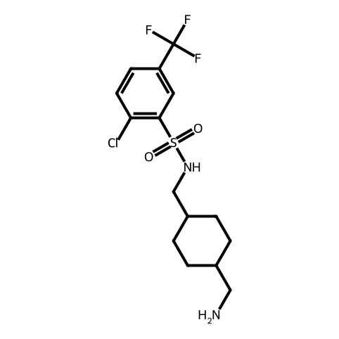 NCC1CCC(CNS(=O)(=O)c2cc(C(F)(F)F)ccc2Cl)CC1